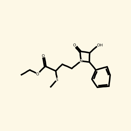 CCOC(=O)C(CCN1C(=O)C(O)C1c1ccccc1)SC